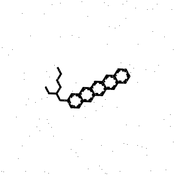 CCCCC(CC)Cc1ccc2cc3cc4cc5ccccc5cc4cc3cc2c1